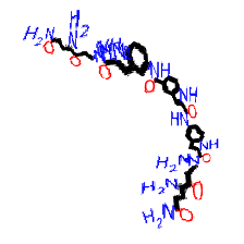 NC(=O)CC[C@H](N)C(=O)CCN(N)C(=O)c1cc2cc(NC(=O)c3ccc4[nH]c(C(=O)Nc5ccc6[nH]c(C(=O)N(N)CCC(=O)[C@@H](N)CCC(N)=O)cc6c5)cc4c3)ccc2[nH]1